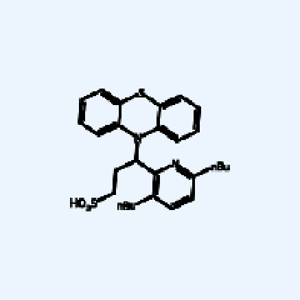 CCCCc1ccc(CCCC)c(C(CCS(=O)(=O)O)N2c3ccccc3Sc3ccccc32)n1